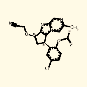 Cc1cn2c3c(nc2cn1)[C@H](OCC#N)C[C@@H]3c1cc(Cl)ccc1OC(F)F